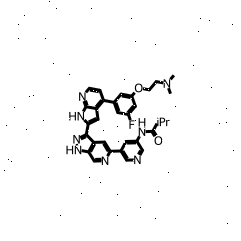 CC(C)C(=O)Nc1cncc(-c2cc3c(-c4cc5c(-c6cc(F)cc(OCCN(C)C)c6)ccnc5[nH]4)n[nH]c3cn2)c1